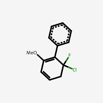 COC1=C(c2ccccc2)C(F)(Cl)CC=C1